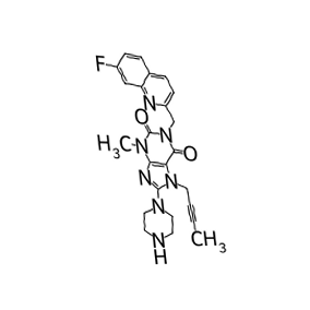 CC#CCn1c(N2CCNCC2)nc2c1c(=O)n(Cc1ccc3ccc(F)cc3n1)c(=O)n2C